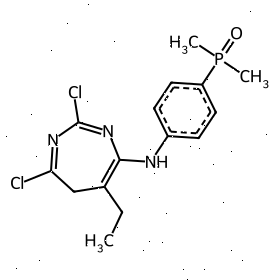 CCC1=C(Nc2ccc(P(C)(C)=O)cc2)N=C(Cl)N=C(Cl)C1